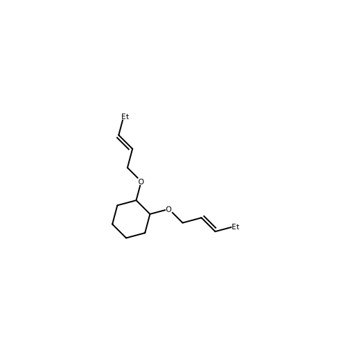 CCC=CCOC1CCCCC1OCC=CCC